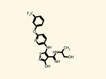 CC(CO)NC(=N)c1c(O)nsc1Nc1ccc(Oc2cccc(C(F)(F)F)c2)nc1